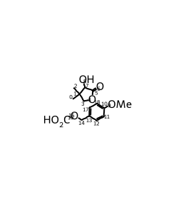 CC1(C)COC(=O)C1O.COc1ccc(COC(=O)O)cc1